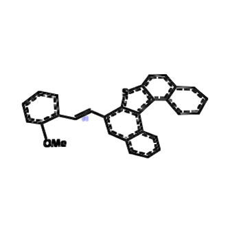 COc1ccccc1/C=C/c1cc2ccccc2c2c1sc1ccc3ccccc3c12